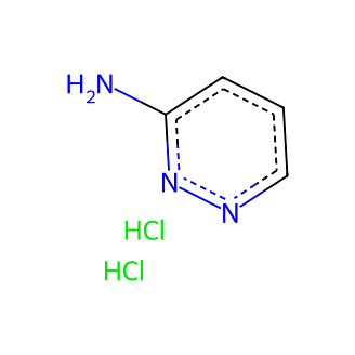 Cl.Cl.Nc1cccnn1